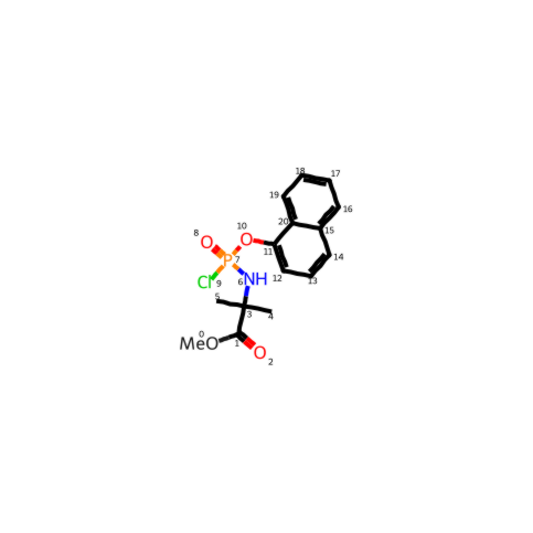 COC(=O)C(C)(C)NP(=O)(Cl)Oc1cccc2ccccc12